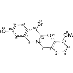 COc1cccc(CN(Cc2cccc(OC)c2)C(=O)CBr)c1